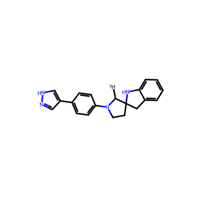 [2H]C1N(c2ccc(-c3cn[nH]c3)cc2)CCC12Cc1ccccc1N2